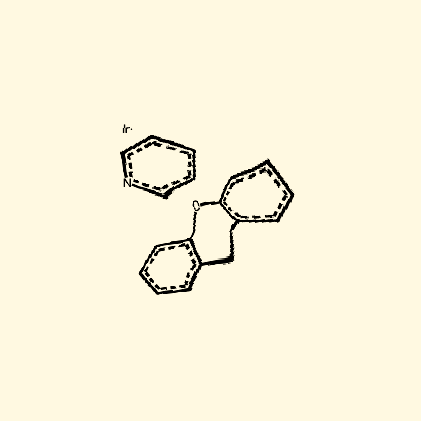 [Ir].c1ccc2c(c1)Cc1ccccc1O2.c1ccncc1